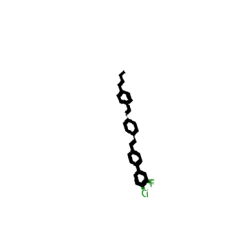 CCCCc1ccc(CC[C@H]2CC[C@H](CCc3ccc(-c4ccc(Cl)c(F)c4)cc3)CC2)cc1